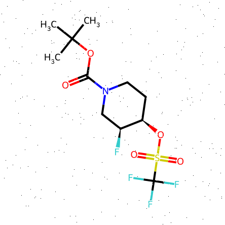 CC(C)(C)OC(=O)N1CC[C@@H](OS(=O)(=O)C(F)(F)F)[C@@H](F)C1